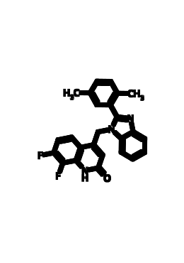 Cc1ccc(C)c(-c2nc3ccccc3n2Cc2cc(=O)[nH]c3c(F)c(F)ccc23)c1